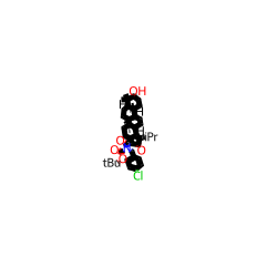 CC(C)C1=C2[C@H]3CC[C@@H]4[C@@]5(C)CC[C@H](O)C(C)(C)[C@@H]5CC[C@@]4(C)[C@]3(C)CC[C@@]2(C(=O)N(Cc2ccc(Cl)cc2)C(=O)OC(C)(C)C)CC1=O